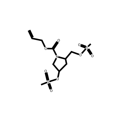 C=CCOC(=O)N1CC(OS(C)(=O)=O)CC1COS(C)(=O)=O